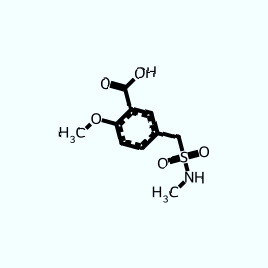 CNS(=O)(=O)Cc1ccc(OC)c(C(=O)O)c1